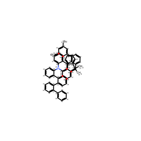 CC(C)(C)c1cc(-c2cccc3cccc(-c4ccccc4N(c4ccccc4-c4ccccc4-c4ccccc4-c4ccccc4)c4cccc5c4-c4ccccc4C5(C)C)c23)cc(C(C)(C)C)c1